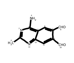 Cc1nc(N)c2cc(C=O)c(C=O)cc2n1